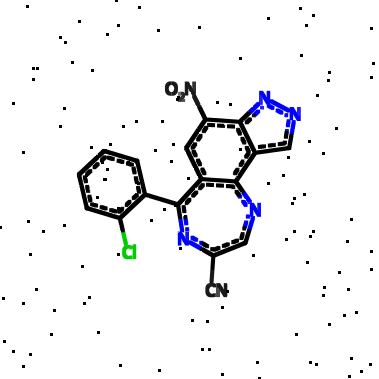 N#Cc1cnc2c(cc([N+](=O)[O-])c3nncc32)c(-c2ccccc2Cl)n1